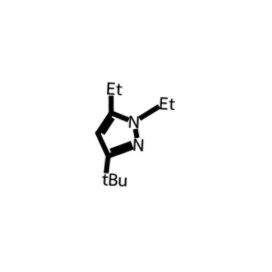 CCc1cc(C(C)(C)C)nn1CC